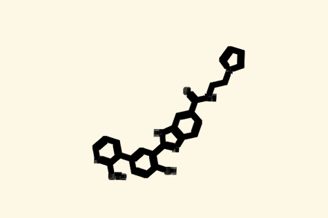 COc1ncccc1-c1ccc(O)c(-c2nc3ccc(C(=O)NCCn4cccc4)cc3[nH]2)c1